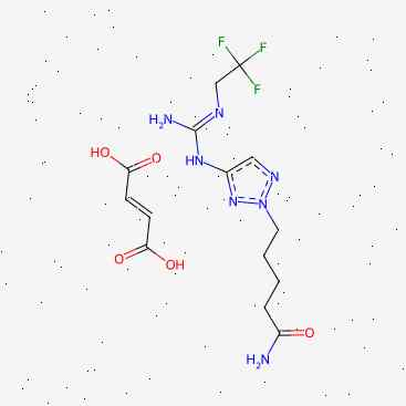 NC(=O)CCCCn1ncc(NC(N)=NCC(F)(F)F)n1.O=C(O)C=CC(=O)O